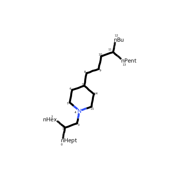 CCCCCCCC(CCCCCC)CN1CCC(CCCC(CCCC)CCCCC)CC1